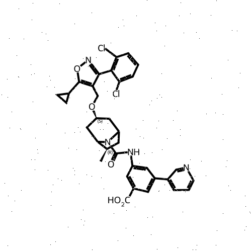 C[C@@H]1CC2C[C@H](OCc3c(-c4c(Cl)cccc4Cl)noc3C3CC3)CC1N2C(=O)Nc1cc(C(=O)O)cc(-c2cccnc2)c1